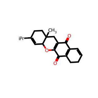 CC(C)C1=CC2OC3=C(CC2(C)CC1)C(=O)C1=C(CCC=C1)C3=O